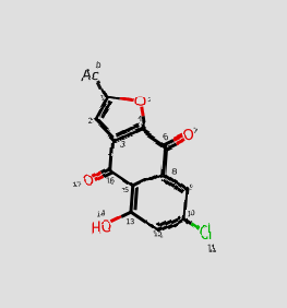 CC(=O)c1cc2c(o1)C(=O)c1cc(Cl)cc(O)c1C2=O